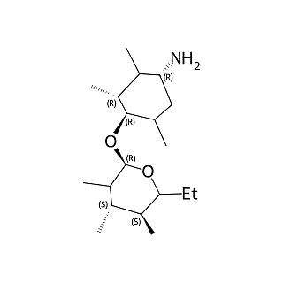 CCC1O[C@H](O[C@@H]2C(C)C[C@@H](N)C(C)[C@H]2C)C(C)[C@@H](C)[C@@H]1C